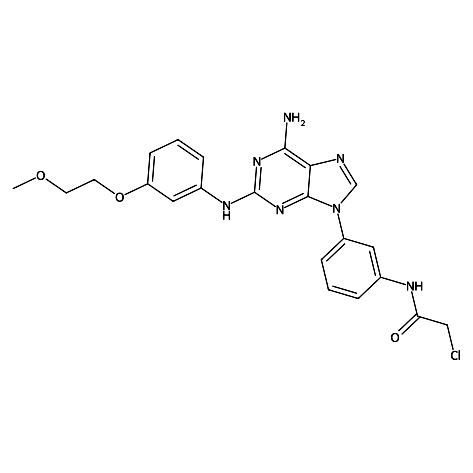 COCCOc1cccc(Nc2nc(N)c3ncn(-c4cccc(NC(=O)CCl)c4)c3n2)c1